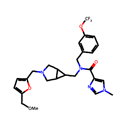 COCc1ccc(CN2CC3C(C2)C3CN(Cc2cccc(OC(F)(F)F)c2)C(=O)c2cn(C)cn2)o1